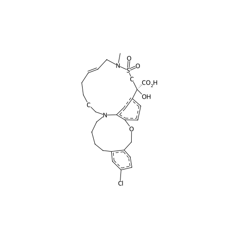 CN1C/C=C/CCCCN2CCCCc3cc(Cl)ccc3COc3ccc(cc32)[C@@](O)(C(=O)O)CS1(=O)=O